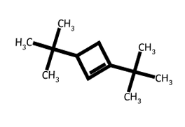 CC(C)(C)C1=CC(C(C)(C)C)C1